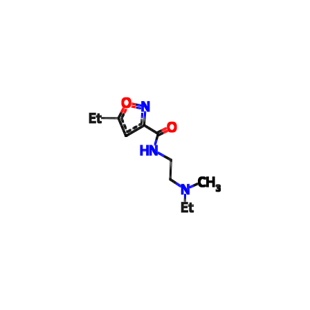 CCc1cc(C(=O)NCCN(C)CC)no1